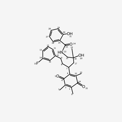 CC1=C(C)C(=O)C(C(CCc2cccc(F)c2)CC(C)(O)CNC(=O)c2ccccc2O)=C(C)C1=O